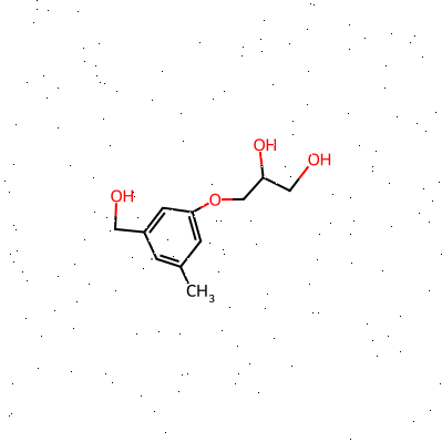 Cc1[c]c(CO)cc(OCC(O)CO)c1